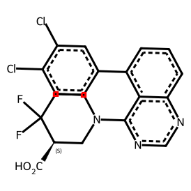 O=C(O)[C@@H]1CN(c2ncnc3cccc(-c4ccc(Cl)c(Cl)c4)c23)CCC1(F)F